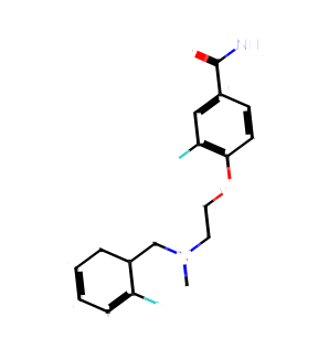 CN(CCOc1ccc(C(N)=O)cc1F)CC1CC=CC=C1F